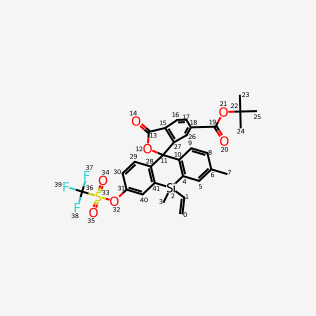 C=C[Si]1(C)c2cc(C)ccc2C2(OC(=O)c3ccc(C(=O)OC(C)(C)C)cc32)c2ccc(OS(=O)(=O)C(F)(F)F)cc21